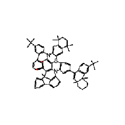 Cc1cc2c3c4c1C1(C)c5ccccc5-c5cccc(c51)N4c1cc(C4=CC5(C)CCCCC5(C)c5cc(C(C)(C)C)ccc54)ccc1B3c1cc3c(cc1N2c1ccc(C(C)(C)C)cc1-c1ccccc1)C(C)(C)CCC3(C)C